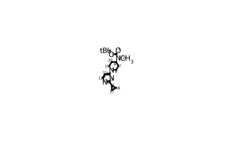 CN(C(=O)OC(C)(C)C)C1CCN(c2ccnc(C3CC3)n2)CC1